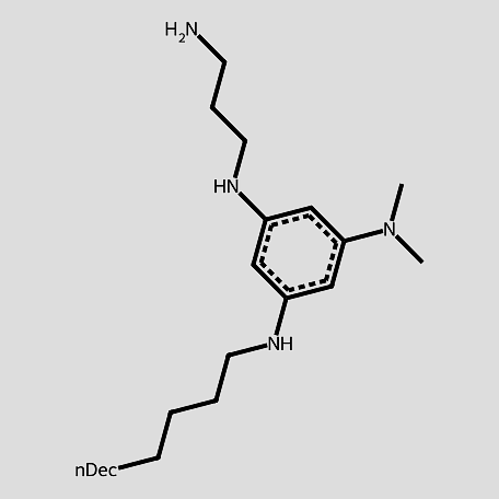 CCCCCCCCCCCCCCNc1cc(NCCCN)cc(N(C)C)c1